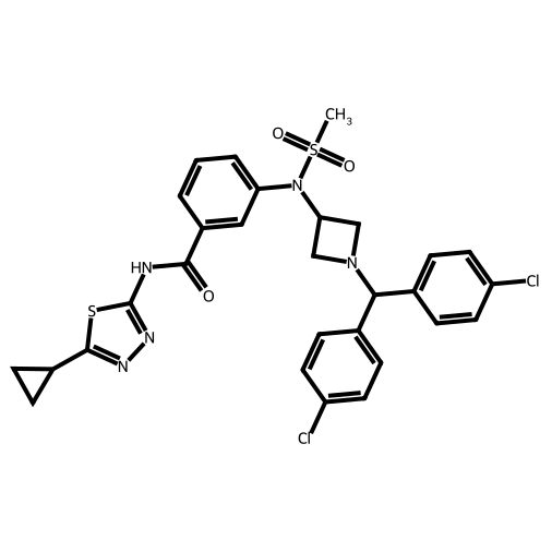 CS(=O)(=O)N(c1cccc(C(=O)Nc2nnc(C3CC3)s2)c1)C1CN(C(c2ccc(Cl)cc2)c2ccc(Cl)cc2)C1